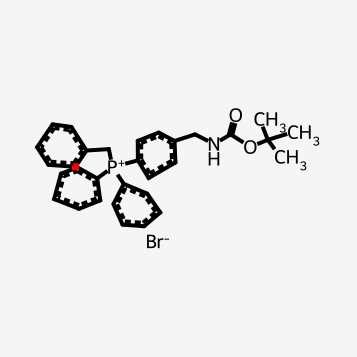 CC(C)(C)OC(=O)NCc1ccc([P+](Cc2ccccc2)(c2ccccc2)c2ccccc2)cc1.[Br-]